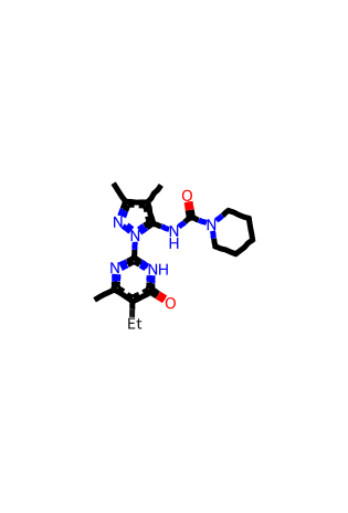 CCc1c(C)nc(-n2nc(C)c(C)c2NC(=O)N2CCCCC2)[nH]c1=O